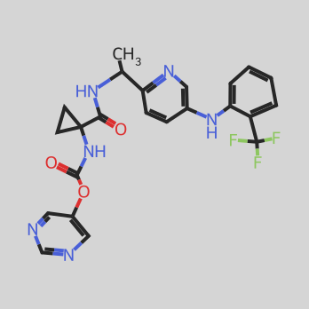 CC(NC(=O)C1(NC(=O)Oc2cncnc2)CC1)c1ccc(Nc2ccccc2C(F)(F)F)cn1